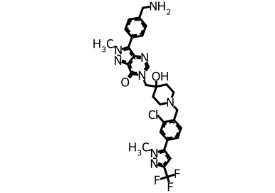 Cn1nc(C(F)(F)F)cc1-c1ccc(CN2CCC(O)(Cn3cnc4c(-c5ccc(CN)cc5)n(C)nc4c3=O)CC2)c(Cl)c1